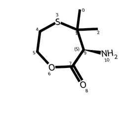 CC1(C)SCCOC(=O)[C@@H]1N